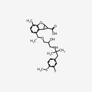 CSc1ccc(CC(C)(C)NCC(O)CO[C@H](C)c2ccc(C)c3c2C2C(O3)C2C(=O)O)cc1F